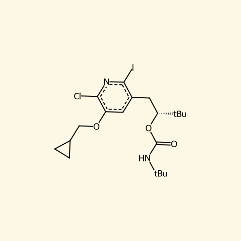 CC(C)(C)NC(=O)O[C@H](Cc1cc(OCC2CC2)c(Cl)nc1I)C(C)(C)C